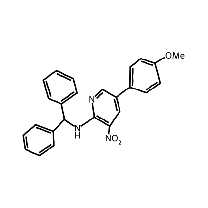 COc1ccc(-c2cnc(NC(c3ccccc3)c3ccccc3)c([N+](=O)[O-])c2)cc1